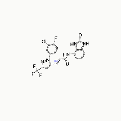 O=C(/C=C/c1cc(C(F)(F)F)nn1-c1ccc(F)c(Cl)c1)Nc1cccc2[nH]c(=O)[nH]c12